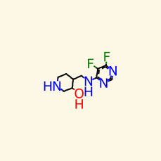 OC1CNCCC1CNc1ncnc(F)c1F